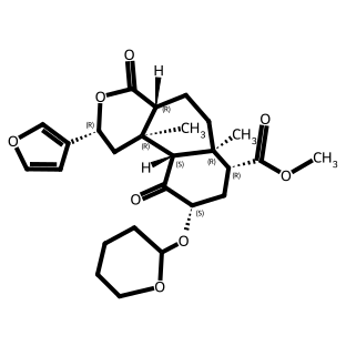 COC(=O)[C@@H]1C[C@H](OC2CCCCO2)C(=O)[C@H]2[C@@]1(C)CC[C@H]1C(=O)O[C@@H](c3ccoc3)C[C@]21C